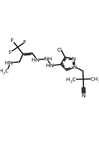 CNC/C(=C\NNNc1cn(CC(C)(C)C#N)nc1Cl)C(F)(F)F